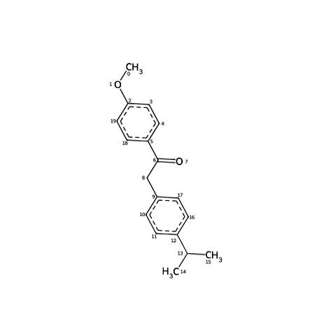 COc1ccc(C(=O)Cc2ccc(C(C)C)cc2)cc1